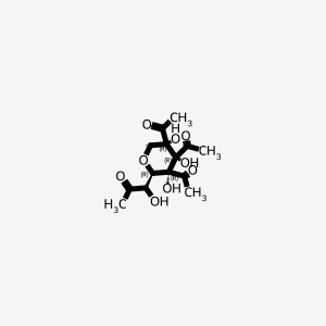 CC(=O)C(O)[C@H]1O[CH][C@](O)(C(C)=O)[C@](O)(C(C)=O)[C@@]1(O)C(C)=O